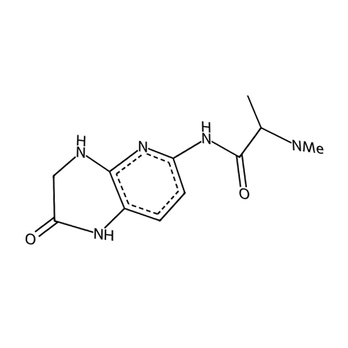 CNC(C)C(=O)Nc1ccc2c(n1)NCC(=O)N2